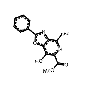 CCCCc1nc(C(=O)OC)c(O)c2oc(-c3ccccc3)nc12